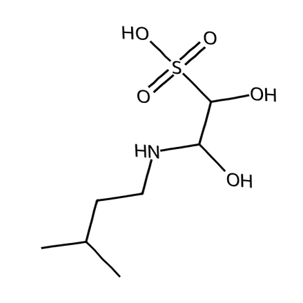 CC(C)CCNC(O)C(O)S(=O)(=O)O